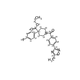 CCOC(=O)C1(c2ccc(F)cc2)CCN(C(=O)c2ccc(-c3noc(C)n3)cc2)CC1